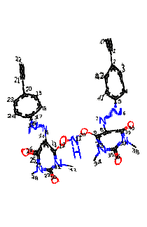 C#Cc1ccc(/N=N/c2c(ONOc3c(/N=N/c4ccc(C#C)cc4)c(=O)n(C)c(=O)n3C)n(C)c(=O)n(C)c2=O)cc1